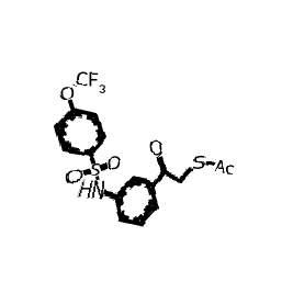 CC(=O)SCC(=O)c1cccc(NS(=O)(=O)c2ccc(OC(F)(F)F)cc2)c1